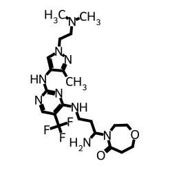 Cc1nn(CCN(C)C)cc1Nc1ncc(C(F)(F)F)c(NCCC(N)N2CCOCCC2=O)n1